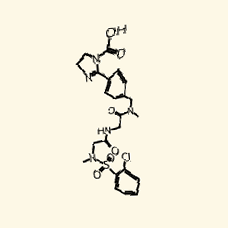 CN(Cc1ccc(C2=NCCN2C(=O)O)cc1)C(=O)CNC(=O)CN(C)S(=O)(=O)c1ccccc1Cl